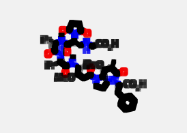 CC[C@H](C)[C@@H]([C@@H](CC(=O)N1CCC[C@H]1[C@@H](OC)[C@@H](C)C(=O)N[C@@H](Cc1ccccc1)C(=O)O)OC)N(C)C(=O)[C@H](NC(=O)[C@H](C(C)C)N(C)C(=O)[C@H](CNCC(=O)O)N1C(=O)C=CC1=O)C(C)C